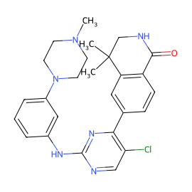 CN1CCN(c2cccc(Nc3ncc(Cl)c(-c4ccc5c(c4)C(C)(C)CNC5=O)n3)c2)CC1